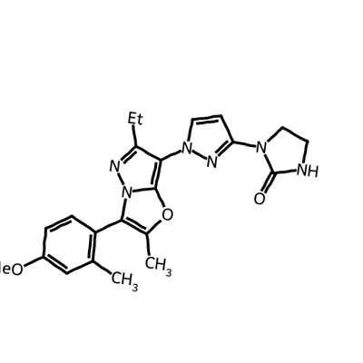 CCc1nn2c(-c3ccc(OC)cc3C)c(C)oc2c1-n1ccc(N2CCNC2=O)n1